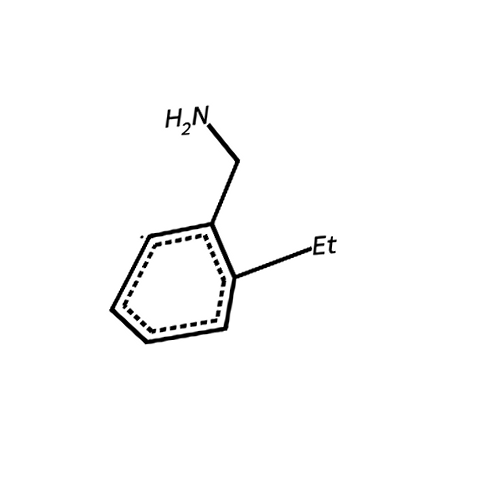 CCc1ccc[c]c1CN